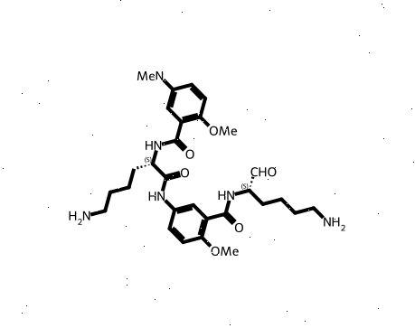 CNc1ccc(OC)c(C(=O)N[C@@H](CCCCN)C(=O)Nc2ccc(OC)c(C(=O)N[C@H](C=O)CCCCN)c2)c1